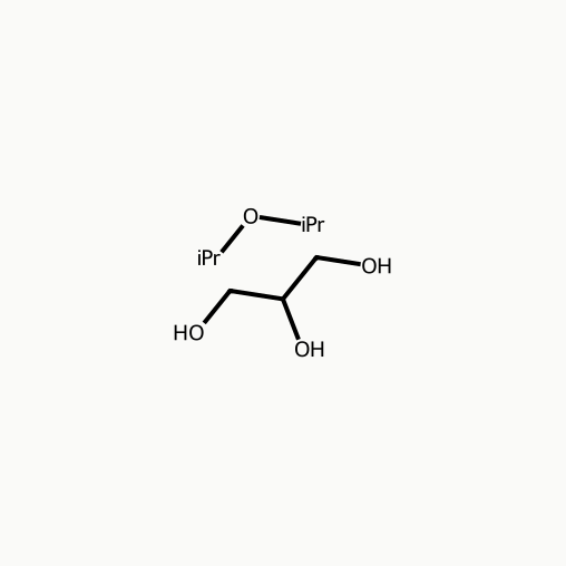 CC(C)OC(C)C.OCC(O)CO